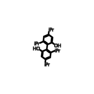 CC(C)c1cc(O)c(-c2c(O)cc(C(C)C)cc2C(C)C)c(C(C)C)c1